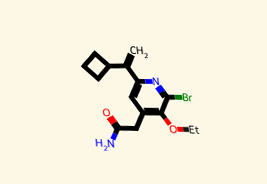 C=C(c1cc(CC(N)=O)c(OCC)c(Br)n1)C1CCC1